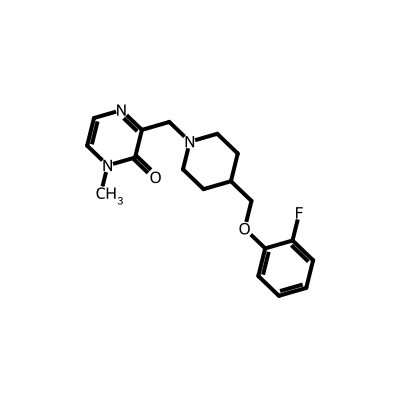 Cn1ccnc(CN2CCC(COc3ccccc3F)CC2)c1=O